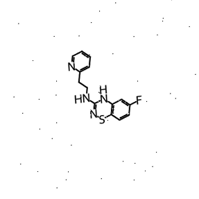 Fc1ccc2c(c1)NC(NCCc1ccccn1)=NS2